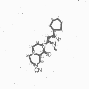 Cn1nc(C2CCCCC2)cc1N1CCN2CCN(C#N)CC2C1=O